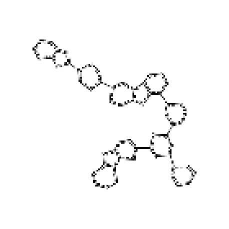 c1ccc(-c2nc(-c3cccc(-c4cccc5c4sc4ccc(-c6ccc(-c7nc8ccccc8o7)cc6)cc45)c3)nc(-c3ccc4sc5ccccc5c4c3)n2)cc1